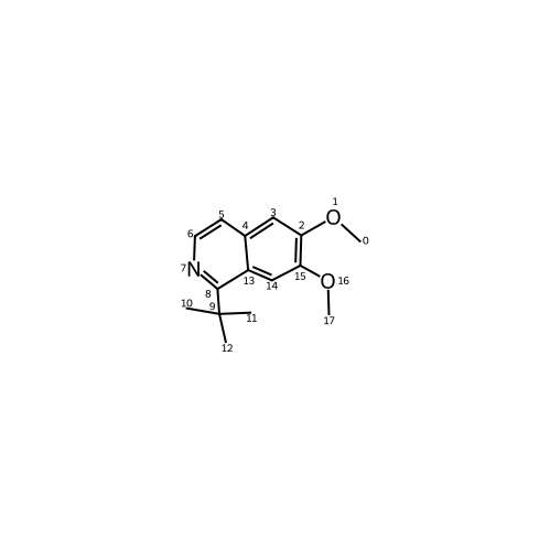 COc1cc2ccnc(C(C)(C)C)c2cc1OC